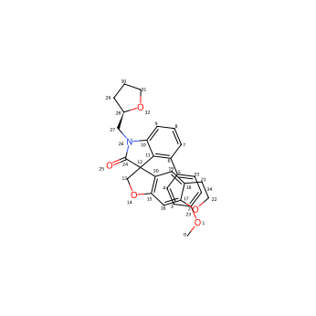 COc1ccc(-c2cccc3c2C2(COc4cc5c(cc42)CCO5)C(=O)N3C[C@H]2CCCO2)cc1